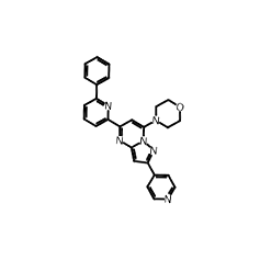 c1ccc(-c2cccc(-c3cc(N4CCOCC4)n4nc(-c5ccncc5)cc4n3)n2)cc1